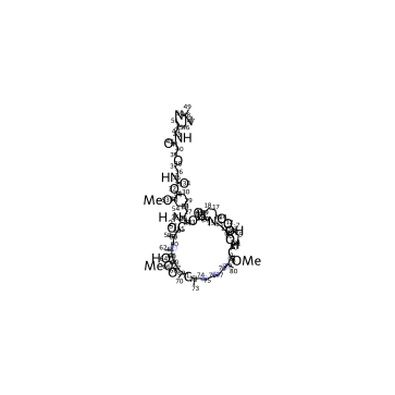 CO[C@H]1C[C@@H]2CC[C@@H](C)[C@@](O)(O2)C(=O)C(=O)N2CCCC[C@H]2C(=O)O[C@H]([C@H](N)C[C@@H]2CC[C@@H](OC(=O)NCCOCCC(=O)NCc3cnc(C)nc3)[C@H](OC)C2)CC(=O)[C@H](C)/C=C(\C)[C@@H](O)[C@@H](OC)C(=O)C(C)C[C@H](C)/C=C/C=C/C=C/1C